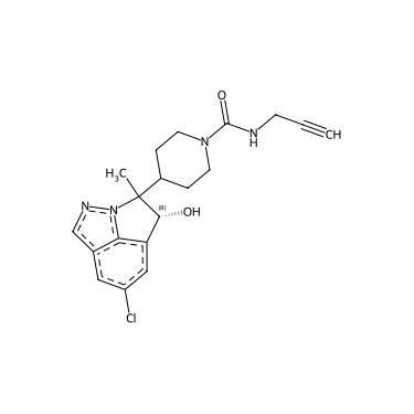 C#CCNC(=O)N1CCC(C2(C)[C@H](O)c3cc(Cl)cc4cnn2c34)CC1